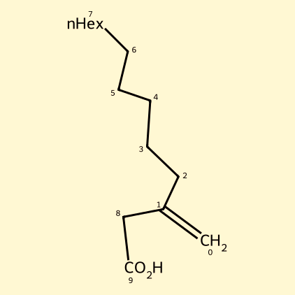 C=C(CCCCCCCCCCC)CC(=O)O